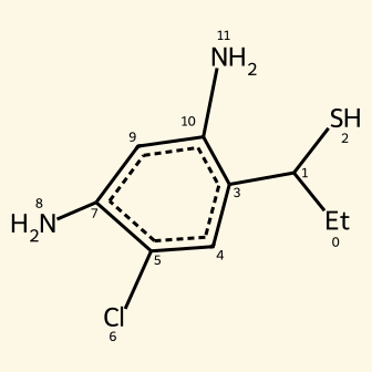 CCC(S)c1cc(Cl)c(N)cc1N